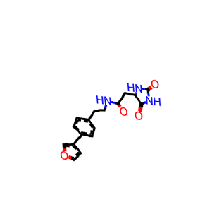 O=C(CC1NC(=O)NC1=O)NCCc1ccc(-c2ccoc2)cc1